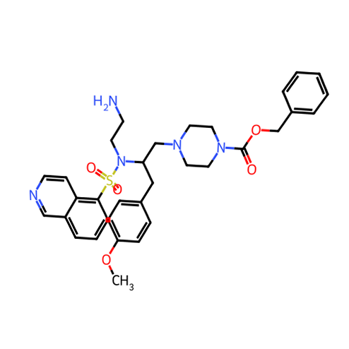 COc1ccc(CC(CN2CCN(C(=O)OCc3ccccc3)CC2)N(CCN)S(=O)(=O)c2cccc3cnccc23)cc1